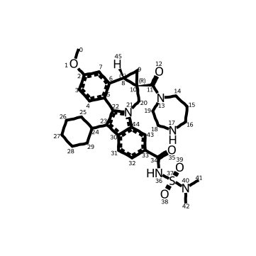 COc1ccc2c(c1)[C@@H]1C[C@]1(C(=O)N1CCCNCC1)Cn1c-2c(C2CCCCC2)c2ccc(C(=O)NS(=O)(=O)N(C)C)cc21